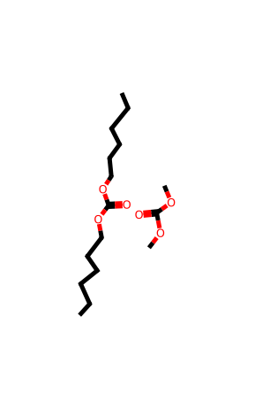 CCCCCCOC(=O)OCCCCCC.COC(=O)OC